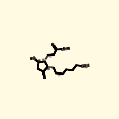 CCCCCC(=O)/C=C/[C@H]1[C@H](O)CC(=O)[C@H]1C/C=C\CCCC(=O)O